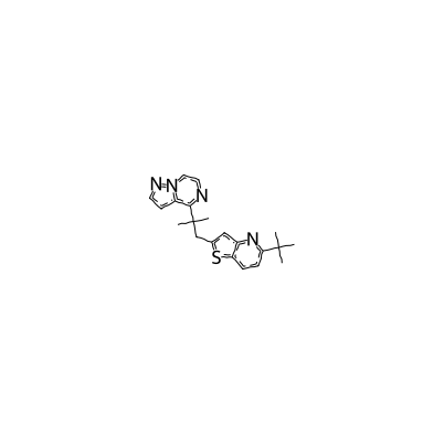 CC(C)(C)c1ccc2sc(CC(C)(C)c3nccn4nccc34)cc2n1